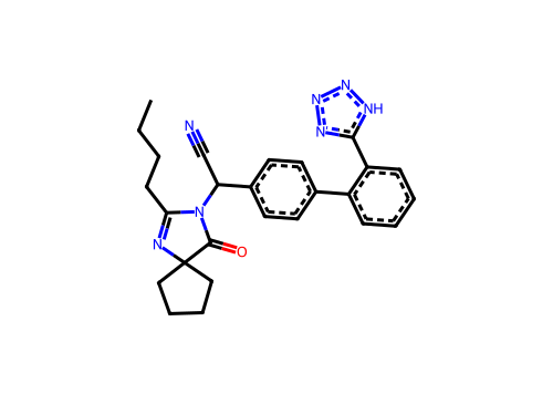 CCCCC1=NC2(CCCC2)C(=O)N1C(C#N)c1ccc(-c2ccccc2-c2nnn[nH]2)cc1